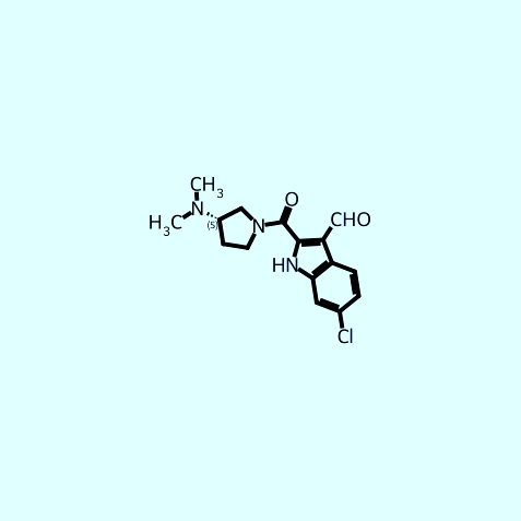 CN(C)[C@H]1CCN(C(=O)c2[nH]c3cc(Cl)ccc3c2C=O)C1